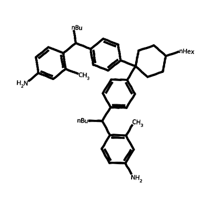 CCCCCCC1CCC(c2ccc(C(CCCC)c3ccc(N)cc3C)cc2)(c2ccc(C(CCCC)c3ccc(N)cc3C)cc2)CC1